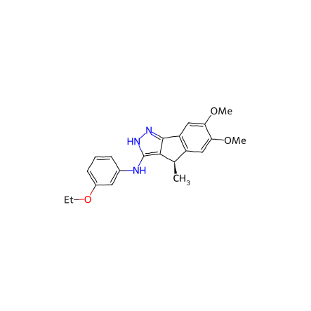 CCOc1cccc(Nc2[nH]nc3c2[C@H](C)c2cc(OC)c(OC)cc2-3)c1